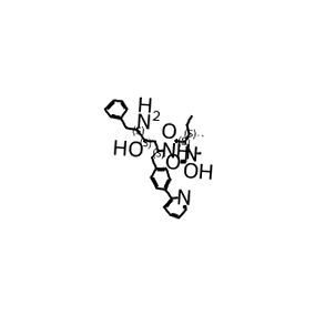 CC[C@H](C)[C@@H](C(=O)N[C@@H](Cc1ccc(-c2ccccn2)cc1)C[C@H](O)[C@@H](N)Cc1ccccc1)N(C)C(=O)O